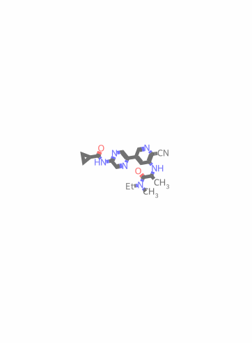 CCN(C)C(=O)C(C)Nc1cc(-c2cnc(NC(=O)C3CC3)cn2)cnc1C#N